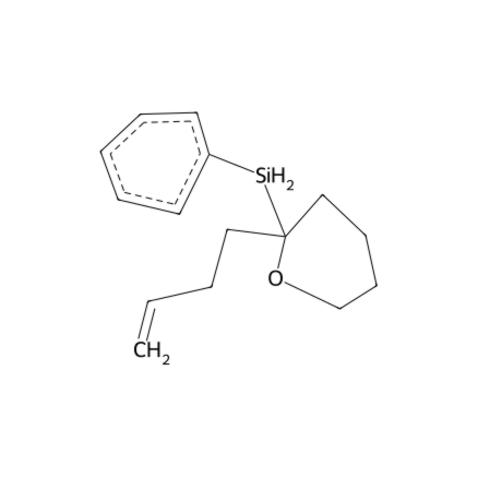 C=CCCC1([SiH2]c2ccccc2)CCCCO1